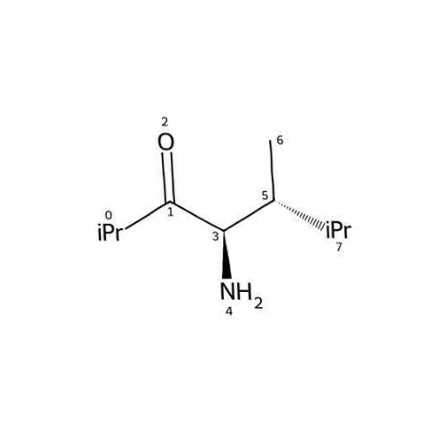 CC(C)C(=O)[C@H](N)[C@H](C)C(C)C